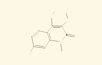 CCCCCCCCn1c(=O)c(OCCCC)c(OCCCCCC)c2ccc(N)cc21